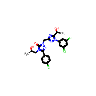 CC(O)c1nc(Cn2nc(-c3ccc(Cl)cc3)n(C[C@H](O)C(F)(F)F)c2=O)nn1-c1cc(Cl)cc(Cl)c1